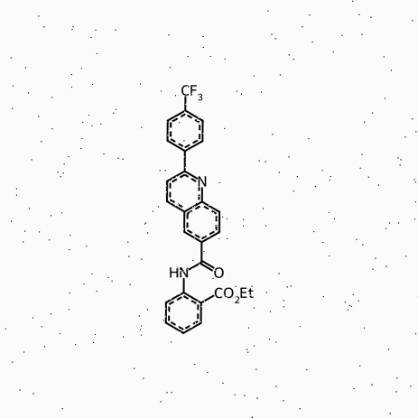 CCOC(=O)c1ccccc1NC(=O)c1ccc2nc(-c3ccc(C(F)(F)F)cc3)ccc2c1